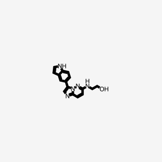 OCCNc1ccc2ncc(-c3ccc4[nH]ccc4c3)n2n1